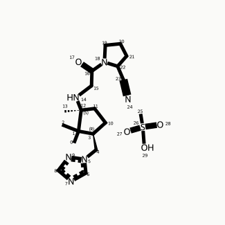 CC1(C)[C@H](Cn2cncn2)CC[C@]1(C)NCC(=O)N1CCCC1C#N.CS(=O)(=O)O